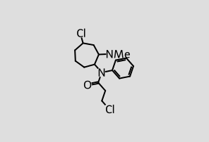 CNC1CC(Cl)CCCC1N(C(=O)CCCl)c1ccccc1